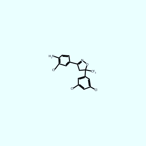 Nc1ccc(C2=NOC(c3cc(Cl)cc(Cl)c3)(C(F)(F)F)C2)cc1Cl